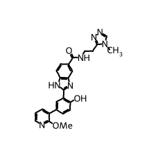 COc1ncccc1-c1ccc(O)c(-c2nc3cc(C(=O)NCCc4nncn4C)ccc3[nH]2)c1